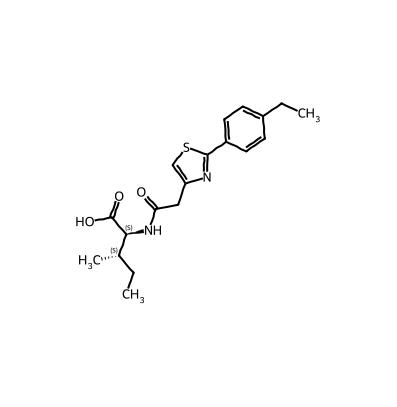 CCc1ccc(-c2nc(CC(=O)N[C@H](C(=O)O)[C@@H](C)CC)cs2)cc1